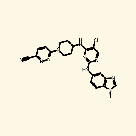 Cn1cnc2cc(Nc3ncc(Cl)c(NC4CCN(c5ccc(C#N)nn5)CC4)n3)ccc21